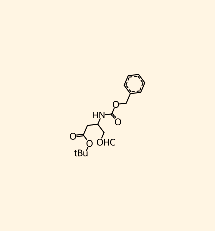 CC(C)(C)OC(=O)CC(CC=O)NC(=O)OCc1ccccc1